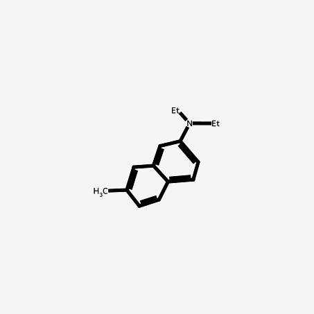 CCN(CC)c1ccc2ccc(C)cc2c1